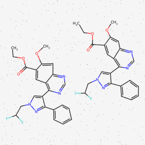 CCOC(=O)c1cc2c(-c3cn(CC(F)F)nc3-c3ccccc3)ncnc2cc1OC.CCOC(=O)c1cc2c(-c3cn(CC(F)F)nc3-c3ccccc3)ncnc2cc1OC